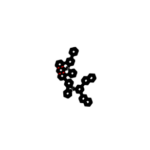 c1ccc(-c2ccc(N(c3ccccc3)c3ccccc3-c3ccccc3-c3ccc4c(c3)c3ccccc3n4-c3cc(-c4ccc5ccccc5c4)cc(-c4ccc5ccccc5c4)c3)c(-c3ccccc3)c2)cc1